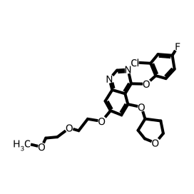 COCCOCCOc1cc(OC2CCOCC2)c2c(Oc3ccc(F)cc3Cl)ncnc2c1